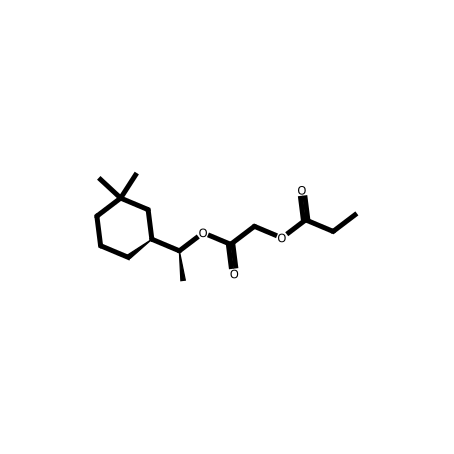 CCC(=O)OCC(=O)O[C@@H](C)[C@H]1CCCC(C)(C)C1